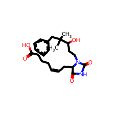 CC(C)(Cc1ccccc1)C(O)CCN1C(=O)NC(=O)C1C/C=C\CCCC(=O)O